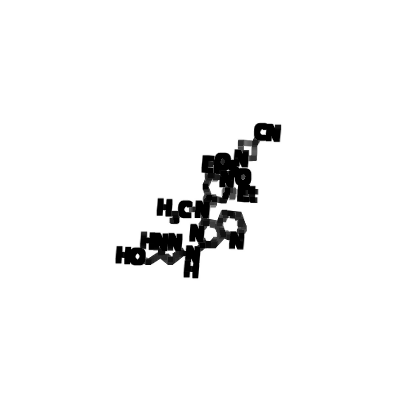 CC[C@@H]1C[C@@H](N(C)c2nc(Nc3cc(CO)[nH]n3)cc3ncccc23)C[C@H](CC)N1S(=O)(=O)N1CC(C#N)C1